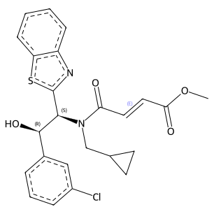 COC(=O)/C=C/C(=O)N(CC1CC1)[C@H](c1nc2ccccc2s1)[C@H](O)c1cccc(Cl)c1